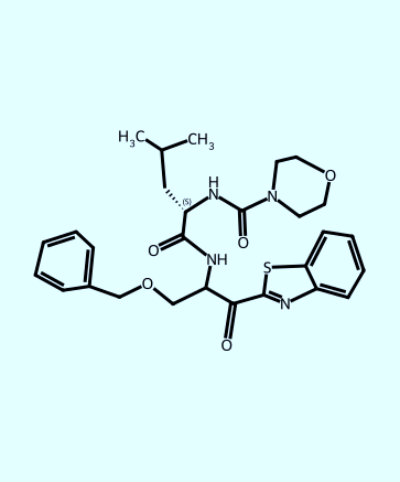 CC(C)C[C@H](NC(=O)N1CCOCC1)C(=O)NC(COCc1ccccc1)C(=O)c1nc2ccccc2s1